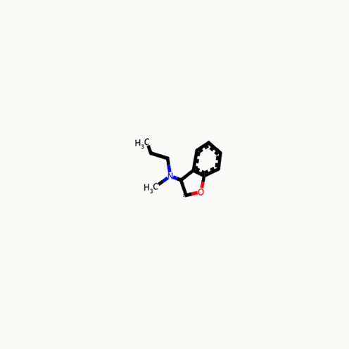 CCCN(C)C1[C]Oc2ccccc21